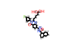 O=c1c2ccc(-c3noc(C4CCCc5ccccc54)n3)cc2nc(CCCCC(O)O)n1-c1ccc(F)cc1